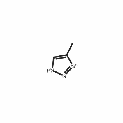 CC1=CNN=[N+]1